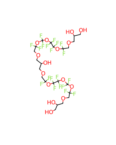 OCC(O)COCC(F)(F)OC(F)(F)OC(F)(F)C(F)(F)OC(F)(F)COCC(O)COCC(F)(F)OC(F)(F)OC(F)(F)C(F)(F)OC(F)(F)COCC(O)CO